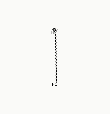 OCCCCCCCCCCCCCCCCCCCCCCCCCCCCCCCCCCCNC(=S)S